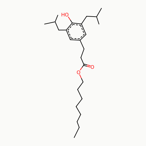 CCCCCCCCOC(=O)CCc1cc(CC(C)C)c(O)c(CC(C)C)c1